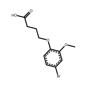 COc1cc(Br)ccc1OCCCC(=O)O